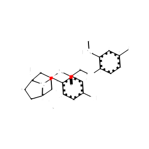 CNc1cc(C)ccc1OCC(=O)N[C@H]1C[C@H]2CC[C@@H](C1)N2Cc1ccc(Cl)cc1